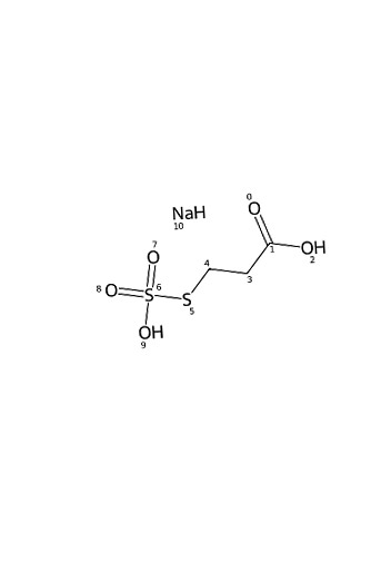 O=C(O)CCSS(=O)(=O)O.[NaH]